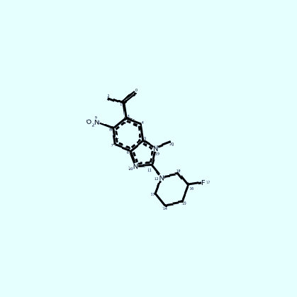 C=C(C)c1cc2c(cc1[N+](=O)[O-])nc(N1CCCC(F)C1)n2C